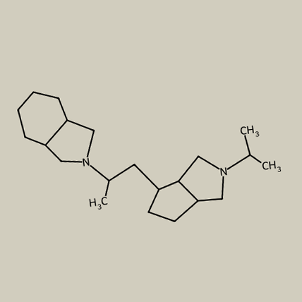 CC(C)N1CC2CCC(CC(C)N3CC4CCCCC4C3)C2C1